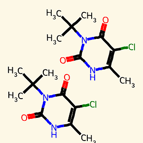 Cc1[nH]c(=O)n(C(C)(C)C)c(=O)c1Cl.Cc1[nH]c(=O)n(C(C)(C)C)c(=O)c1Cl